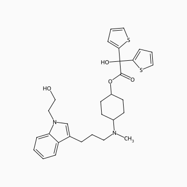 CN(CCCc1cn(CCO)c2ccccc12)C1CCC(OC(=O)C(O)(c2cccs2)c2cccs2)CC1